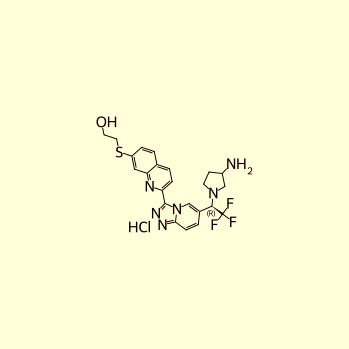 Cl.NC1CCN([C@H](c2ccc3nnc(-c4ccc5ccc(SCCO)cc5n4)n3c2)C(F)(F)F)C1